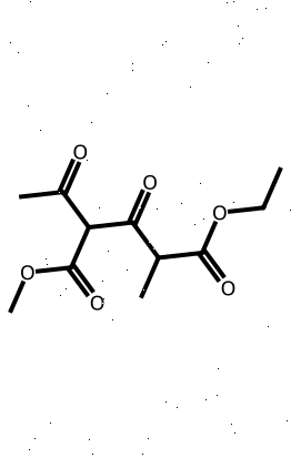 CCOC(=O)C(C)C(=O)C(C(C)=O)C(=O)OC